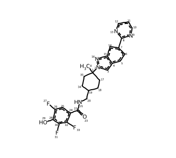 CC1(n2cc3ccc(-c4ncccn4)cc3n2)CCC(CNC(=O)c2cc(F)c(O)c(F)c2F)CC1